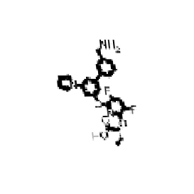 CC[C@@H](Oc1nc(Oc2cc(-c3cccc(CN)c3)cc(-n3cccc3)c2)c(F)cc1F)C(=O)O